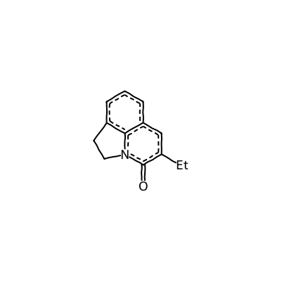 CCc1cc2cccc3c2n(c1=O)CC3